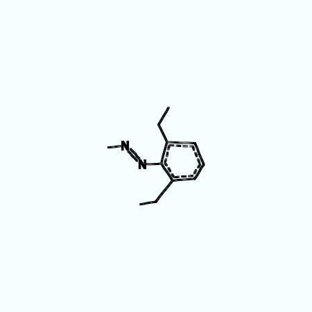 CCc1cccc(CC)c1N=NC